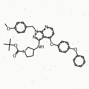 COc1ccc(Cn2nc(NC3CCN(C(=O)OC(C)(C)C)C3)c3c(Oc4ccc(Oc5ccccc5)cc4)ccnc32)cc1